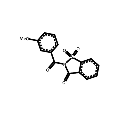 COc1cccc(C(=O)N2C(=O)c3ccccc3S2(=O)=O)c1